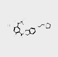 CCCN(C)C(=O)c1cc(C(=O)N2Cc3ccc(OCCN4CCCC4)cc3C2)c(O)cc1O